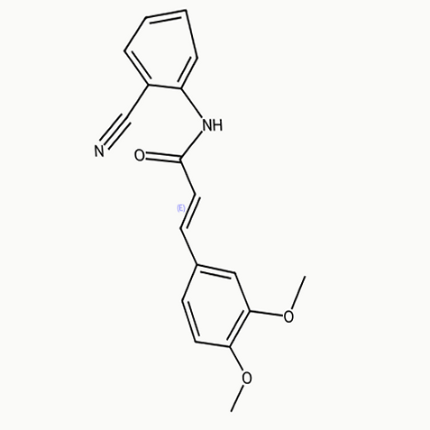 COc1ccc(/C=C/C(=O)Nc2ccccc2C#N)cc1OC